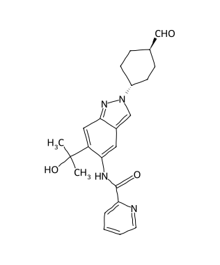 CC(C)(O)c1cc2nn([C@H]3CC[C@H](C=O)CC3)cc2cc1NC(=O)c1ccccn1